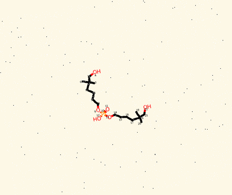 CC(C)(CO)CCCCOP(=O)(O)OCCCCC(C)(C)CO